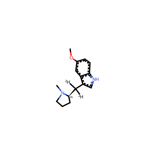 [2H]C([2H])(c1c[nH]c2ccc(OC)cc12)[C@H]1CCCN1C